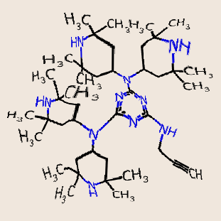 C#CCNc1nc(N(C2CC(C)(C)NC(C)(C)C2)C2CC(C)(C)NC(C)(C)C2)nc(N(C2CC(C)(C)NC(C)(C)C2)C2CC(C)(C)NC(C)(C)C2)n1